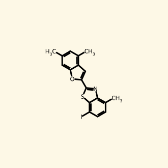 Cc1cc(C)c2cc(-c3nc4c(C)ccc(I)c4s3)oc2c1